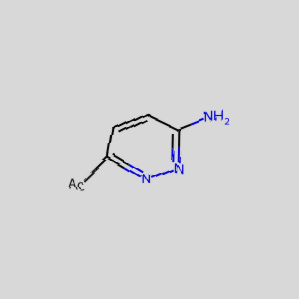 CC(=O)c1ccc(N)nn1